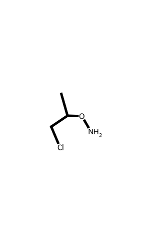 CC(CCl)ON